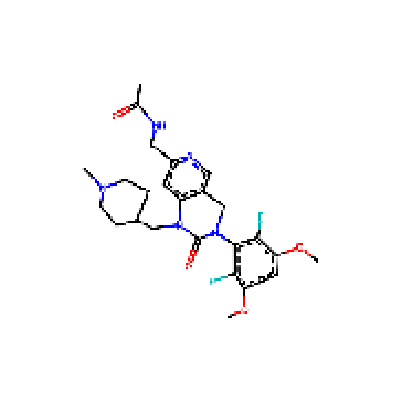 COc1cc(OC)c(F)c(N2Cc3cnc(CNC(C)=O)cc3N(CC3CCN(C)CC3)C2=O)c1F